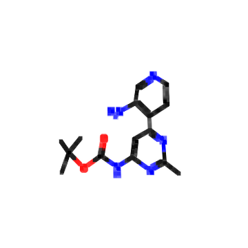 Cc1nc(NC(=O)OC(C)(C)C)cc(-c2ccncc2N)n1